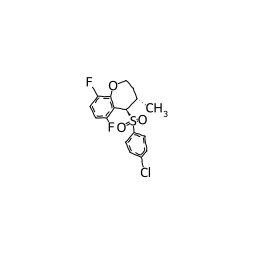 C[C@H]1CCOc2c(F)ccc(F)c2[C@@H]1S(=O)(=O)c1ccc(Cl)cc1